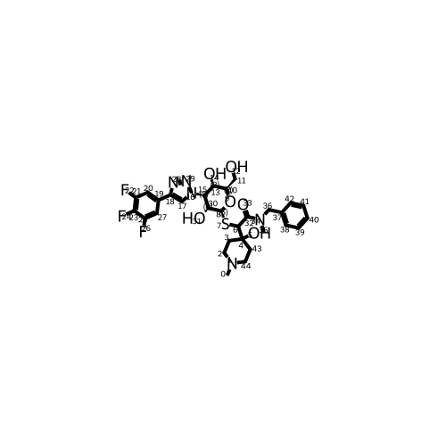 CN1CCC(O)(C(S[C@@H]2O[C@H](CO)[C@H](O)[C@H](n3cc(-c4cc(F)c(F)c(F)c4)nn3)[C@H]2O)C(=O)N(C)Cc2ccccc2)CC1